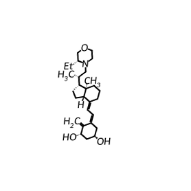 C=C1/C(=C\C=C2/CCC[C@]3(C)[C@@H]([C@H](C)CN4CCOC[C@H]4CC)CC[C@@H]23)C[C@@H](O)C[C@@H]1O